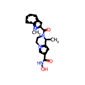 CC1c2cc(C(=O)NO)cn2CCN1C(=O)c1cc2ccccc2n1C